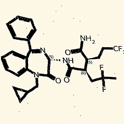 CC(F)(F)C[C@@H](C(=O)N[C@H]1N=C(c2ccccc2)c2ccccc2N(CC2CC2)C1=O)[C@H](CCC(F)(F)F)C(N)=O